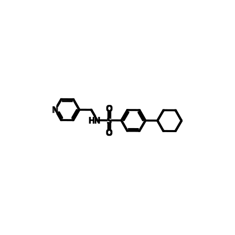 O=S(=O)(NCc1ccncc1)c1ccc(C2CCCCC2)cc1